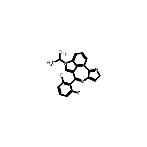 CC(C)n1cc2c3c(cccc31)C1=NCC=C1N=C2c1c(F)cccc1F